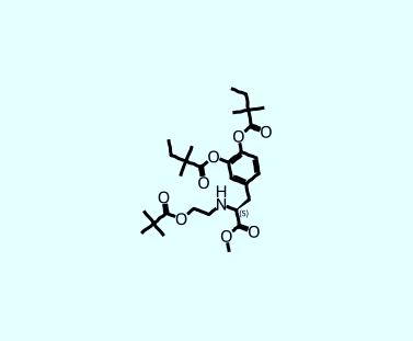 CCC(C)(C)C(=O)Oc1ccc(C[C@H](NCCOC(=O)C(C)(C)C)C(=O)OC)cc1OC(=O)C(C)(C)CC